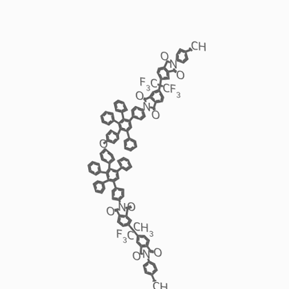 C#Cc1ccc(N2C(=O)c3ccc(C(C)(c4ccc5c(c4)C(=O)N(c4ccc(-c6cc(-c7ccccc7)c(-c7ccc(Oc8ccc(-c9c(-c%10ccccc%10)cc(-c%10ccc(N%11C(=O)c%12ccc(C(c%13ccc%14c(c%13)C(=O)N(c%13ccc(C#C)cc%13)C%14=O)(C(F)(F)F)C(F)(F)F)cc%12C%11=O)cc%10)c(-c%10ccccc%10)c9-c9ccccc9)cc8)cc7)c(-c7ccccc7)c6-c6ccccc6)cc4)C5=O)C(F)(F)F)cc3C2=O)cc1